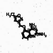 Cc1cc(COc2cccc3nc(N)nc(N)c23)no1